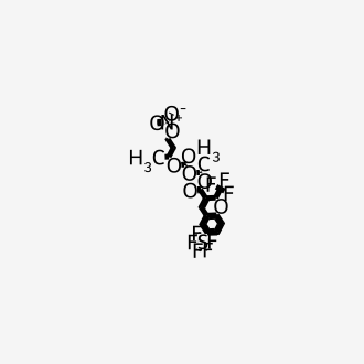 CC(CCO[N+](=O)[O-])OC(=O)OC(C)OC(=O)C1=Cc2cc(S(F)(F)(F)(F)F)ccc2OC1C(F)(F)F